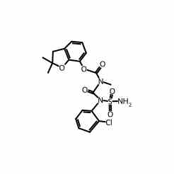 CN(C(=O)Oc1cccc2c1OC(C)(C)C2)C(=O)N(c1ccccc1Cl)S(N)(=O)=O